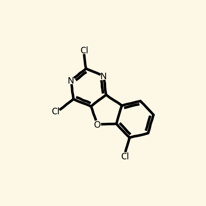 Clc1nc(Cl)c2oc3c(Cl)cccc3c2n1